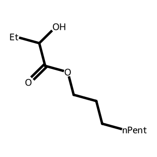 CCCCCCCCOC(=O)C(O)CC